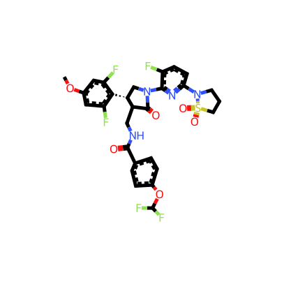 COc1cc(F)c([C@@H]2CN(c3nc(N4CCCS4(=O)=O)ccc3F)C(=O)C2CNC(=O)c2ccc(OC(F)F)cc2)c(F)c1